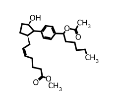 CCCCCC(OC(C)=O)c1ccc(C2[C@@H](C/C=C\CCCC(=O)OC)CC[C@H]2O)cc1